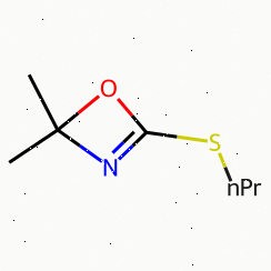 CCCSC1=NC(C)(C)O1